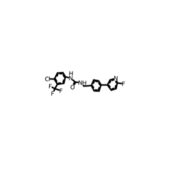 O=C(NCc1ccc(-c2ccc(F)nc2)cc1)Nc1ccc(Cl)c(C(F)(F)F)c1